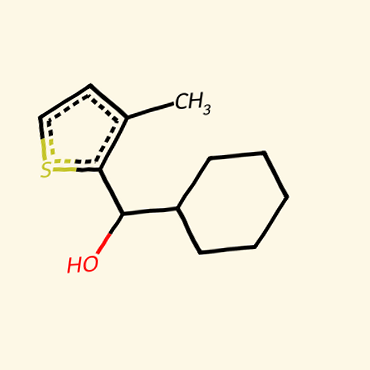 Cc1ccsc1C(O)C1CCCCC1